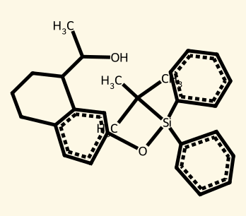 CC(O)C1CCCc2ccc(O[Si](c3ccccc3)(c3ccccc3)C(C)(C)C)cc21